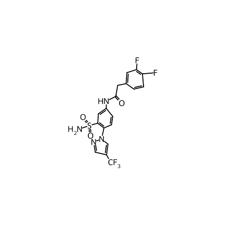 NS(=O)(=O)c1cc(NC(=O)Cc2ccc(F)c(F)c2)ccc1-n1cc(C(F)(F)F)cn1